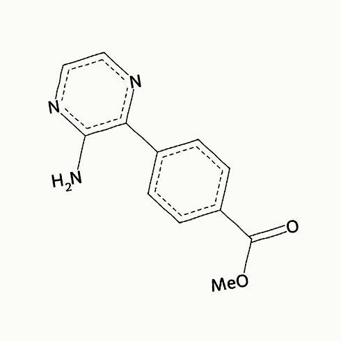 COC(=O)c1ccc(-c2nccnc2N)cc1